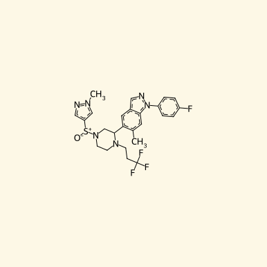 Cc1cc2c(cnn2-c2ccc(F)cc2)cc1C1CN([S+]([O-])c2cnn(C)c2)CCN1CCC(F)(F)F